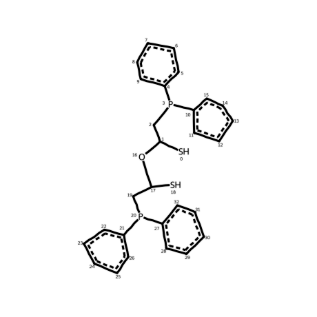 SC(CP(c1ccccc1)c1ccccc1)OC(S)CP(c1ccccc1)c1ccccc1